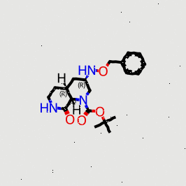 CC(C)(C)OC(=O)N1C[C@H](NOCc2ccccc2)C[C@H]2CCNC(=O)[C@H]21